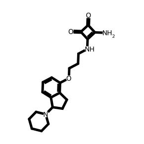 Nc1c(NCCCOc2cccc3c2CCC3N2CCCCC2)c(=O)c1=O